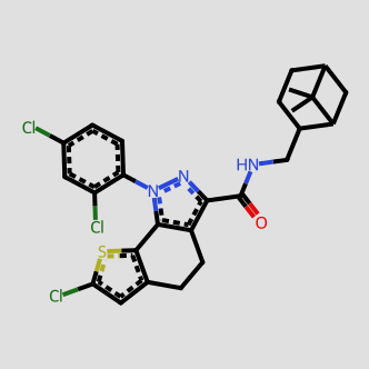 CC1(C)C2CCC(CNC(=O)c3nn(-c4ccc(Cl)cc4Cl)c4c3CCc3cc(Cl)sc3-4)C1C2